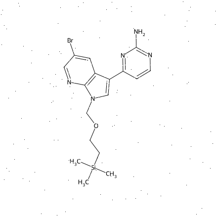 C[Si](C)(C)CCOCn1cc(-c2ccnc(N)n2)c2cc(Br)cnc21